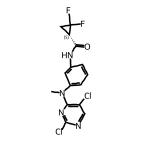 CN(c1cccc(NC(=O)[C@@H]2CC2(F)F)c1)c1nc(Cl)ncc1Cl